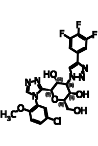 COc1ccc(Cl)cc1-n1cnnc1[C@@H]1O[C@H](CO)[C@H](O)[C@H](n2cc(-c3cc(F)c(F)c(F)c3)nn2)[C@H]1O